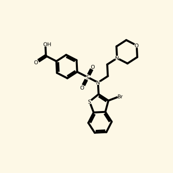 O=C(O)c1ccc(S(=O)(=O)N(CCN2CCOCC2)c2sc3ccccc3c2Br)cc1